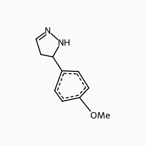 COc1ccc(C2CC=NN2)cc1